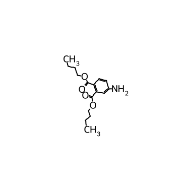 CCCCOC(=O)c1ccc(N)cc1C(=O)OCCCC